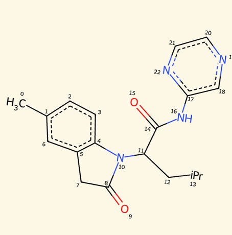 Cc1ccc2c(c1)CC(=O)N2C(CC(C)C)C(=O)Nc1cnccn1